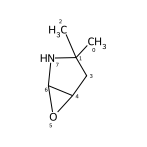 CC1(C)CC2OC2N1